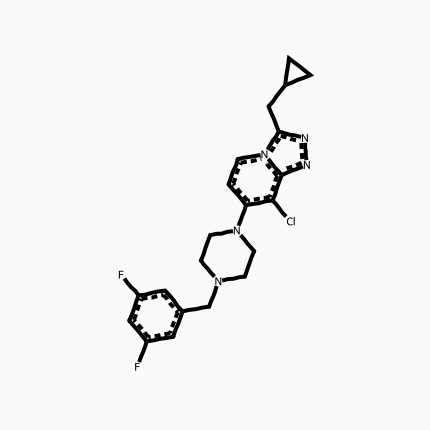 Fc1cc(F)cc(CN2CCN(c3ccn4c(CC5CC5)nnc4c3Cl)CC2)c1